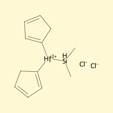 C[SiH](C)[Hf+2]([C]1=CC=CC1)[C]1=CC=CC1.[Cl-].[Cl-]